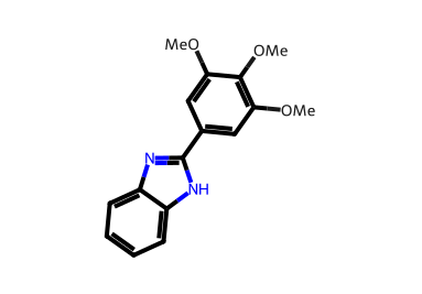 COc1cc(-c2nc3ccccc3[nH]2)cc(OC)c1OC